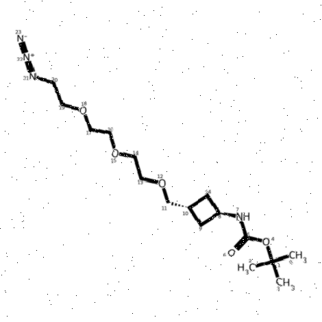 CC(C)(C)OC(=O)N[C@H]1C[C@H](COCCOCCOCCN=[N+]=[N-])C1